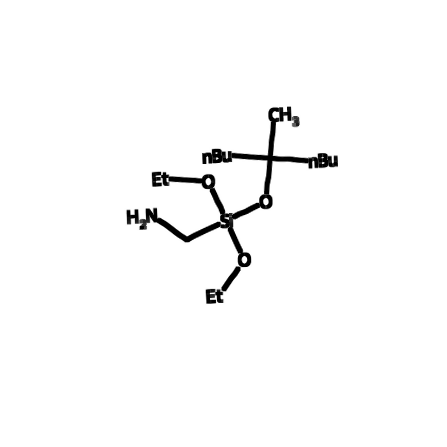 CCCCC(C)(CCCC)O[Si](CN)(OCC)OCC